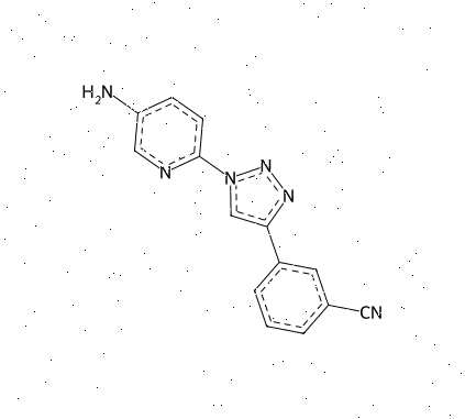 N#Cc1cccc(-c2cn(-c3ccc(N)cn3)nn2)c1